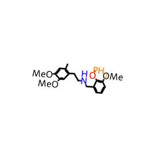 COc1cc(C)c(CCNCc2cccc(OC)c2OP)cc1OC